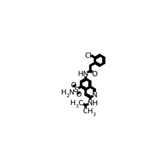 CC(C)Nc1cc2c(S(N)(=O)=O)cc(NC(=O)Cc3ccccc3Cl)cc2cn1